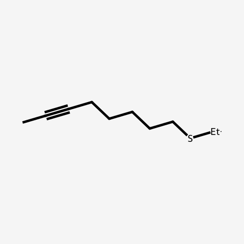 CC#CCCCCCS[CH]C